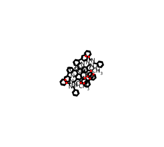 CC1(C)c2c(-c3nc(-c4ccccc4)nc(-c4ccccc4)n3)c3c(c(-c4c5c(c(-c6nc(-c7ccccc7)nc(-c7ccccc7)n6)c6c4C(C)(C)c4cccc7c8ccccc8n-6c47)C(C)(C)c4cccc6c7ccccc7n-5c46)c2-n2c4ccccc4c4cccc1c42)C(C)(C)c1cccc2c4ccccc4n-3c12